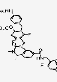 CC(=O)Nc1ccc(Cc2c(OC(=O)O)cc(F)c(CN3C(=O)N(C)[C@@H](C)c4ccc(C(=O)NCc5c(F)cc(F)cc5F)cc43)c2F)cc1